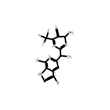 CC(C1=NC(N)C(=S)C(C(F)(F)F)=N1)c1cc2c(Br)c[nH]c2c(Cl)n1